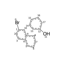 Brc1ccc2ccccc2c1.Oc1ccccc1